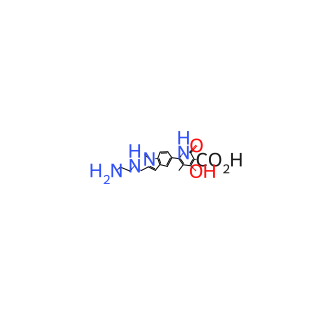 Cc1c(-c2ccc3c(c2)cc(CNCCN)n3C)[nH]c(=O)c(C(=O)O)c1O